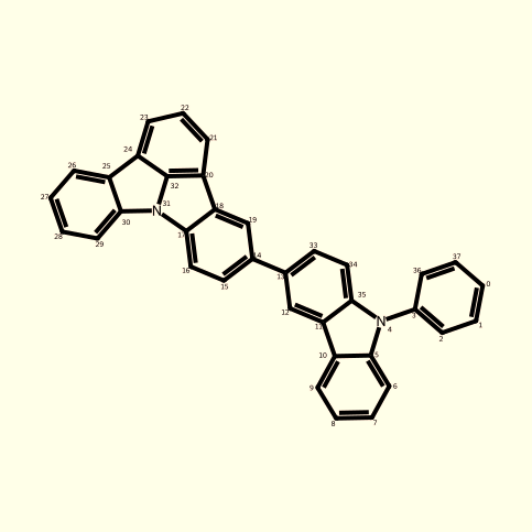 c1ccc(-n2c3ccccc3c3cc(-c4ccc5c(c4)c4cccc6c7ccccc7n5c64)ccc32)cc1